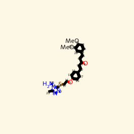 COc1ccc(C=CC(=O)C=Cc2ccc(OCCSc3nnc(C)n3N)cc2)cc1OC